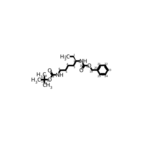 CC[C@H](CCCCNC(=O)OC(C)(C)C)NC(=O)OCc1ccccc1